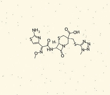 CON=C(C(=O)NC1C(=O)N2CC(CSc3nnnn3C)(C(=O)O)CS[C@H]12)c1csc(N)n1